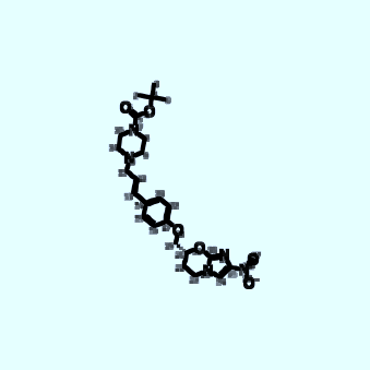 CC(C)(C)OC(=O)N1CCN(C/C=C/c2ccc(OC[C@H]3CCn4cc([N+](=O)[O-])nc4O3)cc2)CC1